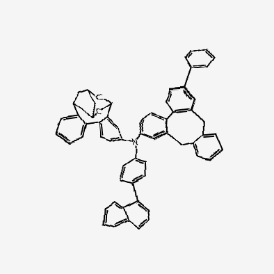 c1ccc(-c2ccc3c(c2)Cc2ccccc2Cc2cc(N(c4ccc(-c5cccc6ccccc56)cc4)c4ccc5c(c4)C4CC6CC(CC(C6)c6ccccc6-5)C4)ccc2-3)cc1